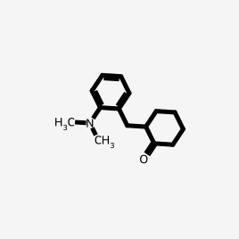 CN(C)c1ccccc1CC1CCCCC1=O